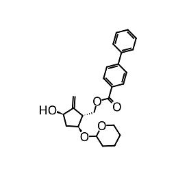 C=C1[C@H](O)C[C@H](OC2CCCCO2)[C@H]1COC(=O)c1ccc(-c2ccccc2)cc1